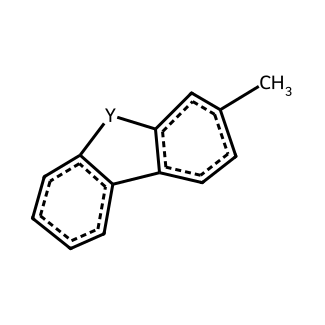 Cc1ccc2[c](c1)[Y][c]1ccccc1-2